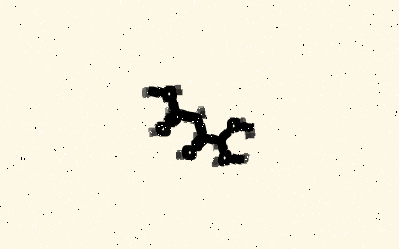 COC(=O)CC(=O)C(OC)OC